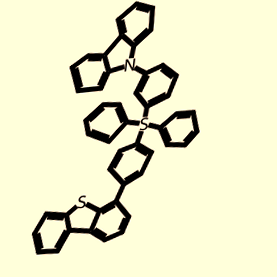 c1ccc(S(c2ccccc2)(c2ccc(-c3cccc4c3sc3ccccc34)cc2)c2cccc(-n3c4ccccc4c4ccccc43)c2)cc1